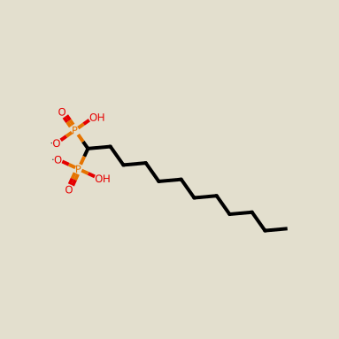 CCCCCCCCCCCC(P([O])(=O)O)P([O])(=O)O